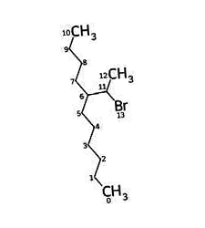 CCCCCCC(CCCC)C(C)Br